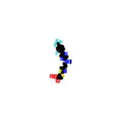 CC(C)(Sc1nc(CCNc2cnc(-c3ccc(C(F)(F)F)cc3F)cn2)cs1)C(=O)O